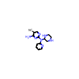 N#Cc1cnc(N(c2ccccn2)C2CNCCN2)nc1N